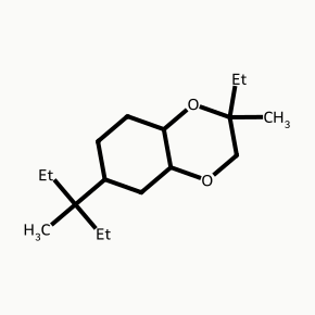 CCC1(C)COC2CC(C(C)(CC)CC)CCC2O1